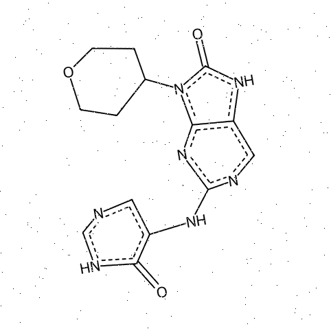 O=c1[nH]cncc1Nc1ncc2[nH]c(=O)n(C3CCOCC3)c2n1